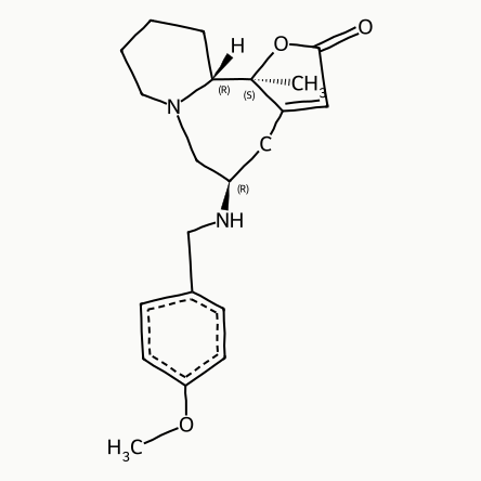 COc1ccc(CN[C@@H]2CC3=CC(=O)O[C@]3(C)[C@H]3CCCCN3C2)cc1